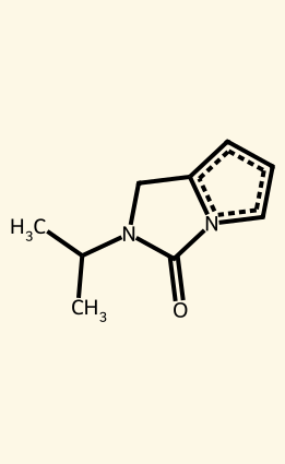 CC(C)N1Cc2cccn2C1=O